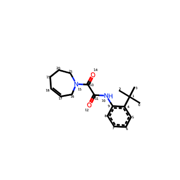 CC(C)(C)c1ccccc1NC(=O)C(=O)N1CC=CCCC1